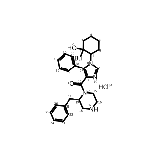 CCCCC1(O)CCCCC1n1cnc(C(=O)N2CCNC[C@H]2Cc2ccccc2)c1-c1ccccc1.Cl